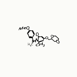 COc1ccc([C@@H](C)n2c(C)cc(OCC3COCCO3)cc2=O)cc1